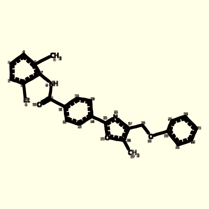 CCc1cccc(C)c1NC(=O)c1ccc(-c2nc(COc3ccccc3)c(C)o2)cc1